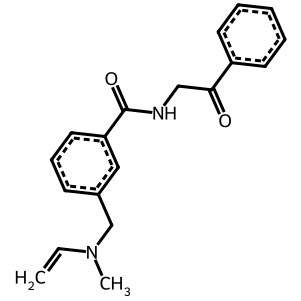 C=CN(C)Cc1cccc(C(=O)NCC(=O)c2ccccc2)c1